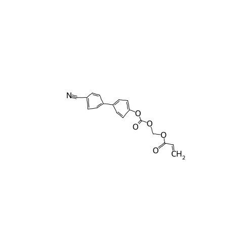 C=CC(=O)OCOC(=O)Oc1ccc(-c2ccc(C#N)cc2)cc1